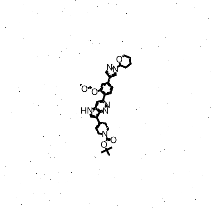 COCOc1cc(-c2cnn(C3CCCCO3)c2)ccc1-c1cc2[nH]cc(C3=CCN(C(=O)OC(C)(C)C)CC3)c2nn1